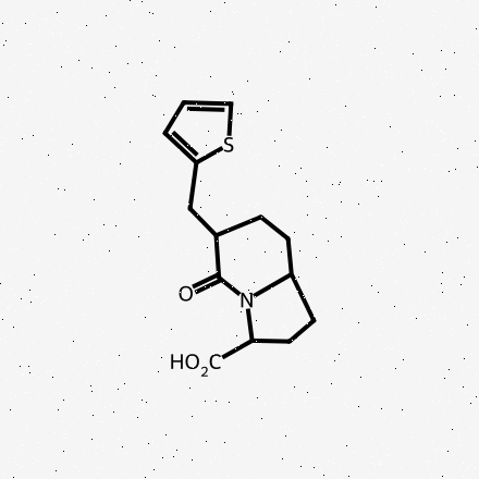 O=C(O)C1CCC2CCC(Cc3cccs3)C(=O)N21